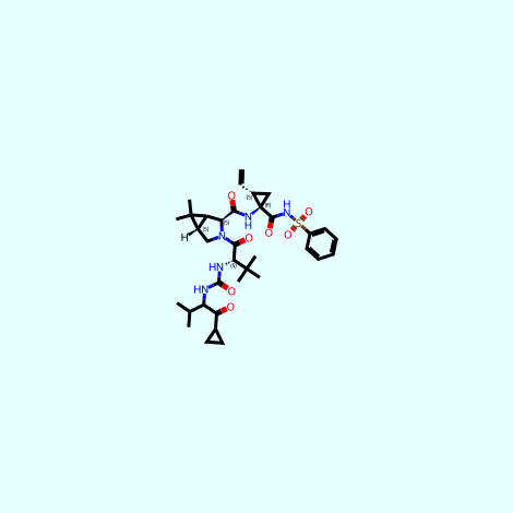 C=C[C@@H]1C[C@]1(NC(=O)[C@@H]1C2[C@H](CN1C(=O)[C@@H](NC(=O)NC(C(=O)C1CC1)C(C)C)C(C)(C)C)C2(C)C)C(=O)NS(=O)(=O)c1ccccc1